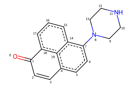 O=C1C=Cc2ccc(N3CCNCC3)c3cccc1c23